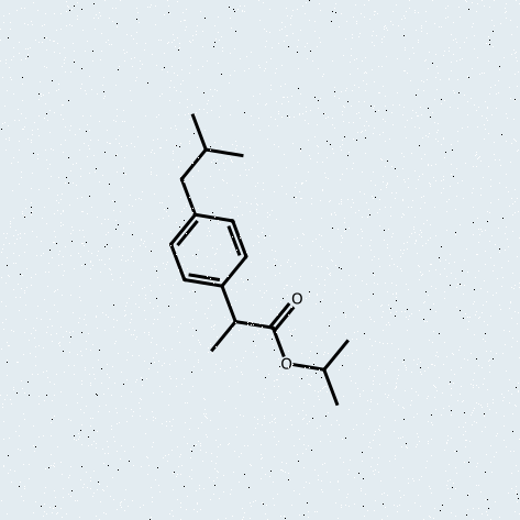 CC(C)Cc1ccc(C(C)C(=O)OC(C)C)cc1